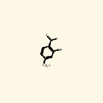 O=C(O)c1ccc(C(F)F)c(Br)c1